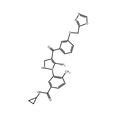 Cc1ccc(C(=O)NC2CC2)cc1N1NCC(C(=O)c2cccc(OCc3nnco3)c2)=C1N